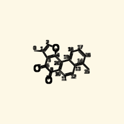 Cc1coc2c1C(=O)C(=O)c1ccc3c(C)cccc3c1-2